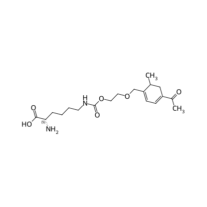 CC(=O)C1=CC=C(COCCOC(=O)NCCCC[C@H](N)C(=O)O)C(C)C1